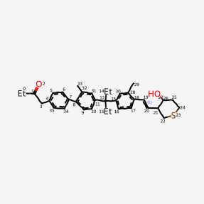 CCC(=O)Cc1ccc(-c2ccc(C(CC)(CC)c3ccc(/C=C/C4CSCCC4O)c(C)c3)cc2C)cc1